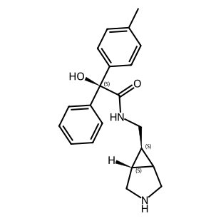 Cc1ccc([C@](O)(C(=O)NC[C@H]2C3CNC[C@@H]32)c2ccccc2)cc1